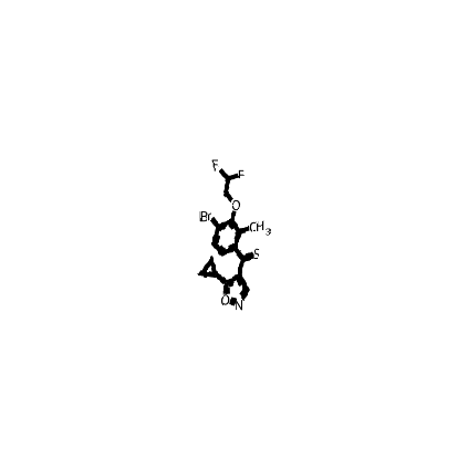 Cc1c(C(=S)c2cnoc2C2CC2)ccc(Br)c1OCC(F)F